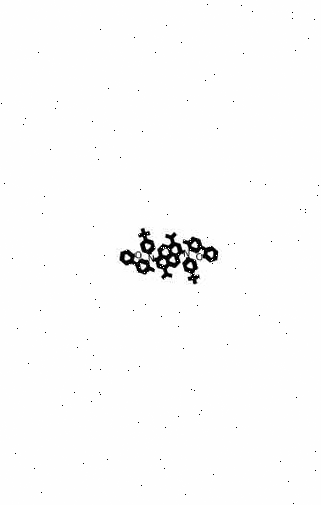 Cc1ccc2c(oc3ccccc32)c1N(c1ccc(C(C)(C)C)cc1)c1cc(C(C)C)c2ccc3c(N(c4ccc(C(C)(C)C)cc4)c4c(C)ccc5c4oc4ccccc45)cc(C(C)C)c4ccc1c2c43